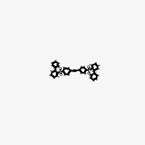 O=P1(c2ccc(C#Cc3ccc(P4(=O)Oc5ccccc5-c5ccccc54)cc3)cc2)Oc2ccccc2-c2ccccc21